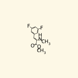 CN/C(=C\c1cc(F)cc(F)c1)C(=O)OC